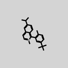 Cc1ccc(C(C)(C)C)cc1-c1c2ccc(C(C)C)cc2cc[n+]1C